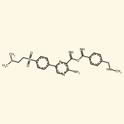 CNCc1ccc(C(=N)OC(=N)c2nc(-c3ccc(S(=O)(=O)CCN(C)C)cc3)cnc2N)cc1